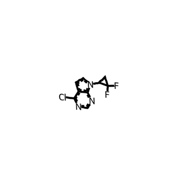 FC1(F)CC1n1ccc2c(Cl)ncnc21